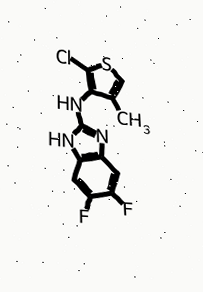 Cc1csc(Cl)c1Nc1nc2cc(F)c(F)cc2[nH]1